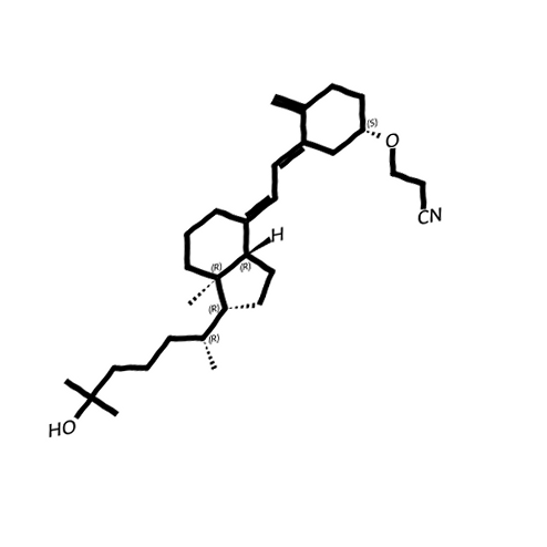 C=C1CC[C@H](OCCC#N)CC1=CC=C1CCC[C@]2(C)[C@@H]([C@H](C)CCCC(C)(C)O)CC[C@@H]12